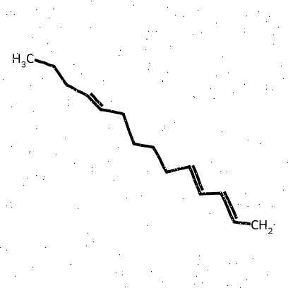 [CH2]C=CC=CCCCCC=CCCC